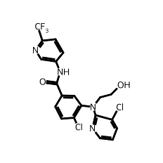 O=C(Nc1ccc(C(F)(F)F)nc1)c1ccc(Cl)c(N(CCO)c2ncccc2Cl)c1